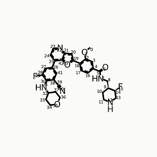 COc1cc(C(=O)NC[C@@H]2CCNC[C@@H]2F)ccc1-c1cc2nccc(-c3cc(F)c(NC4CCOCC4)c(C#N)c3)c2o1